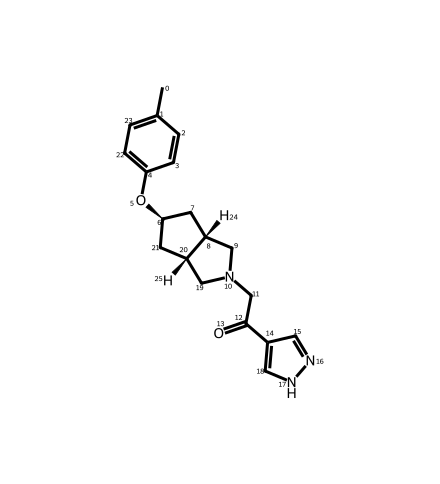 Cc1ccc(O[C@H]2C[C@@H]3CN(CC(=O)c4cn[nH]c4)C[C@@H]3C2)cc1